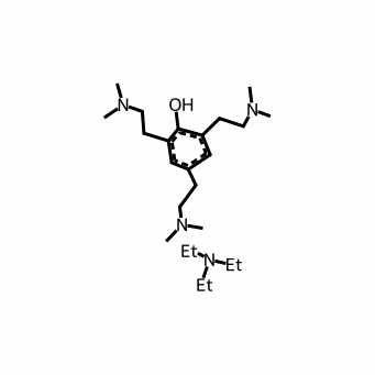 CCN(CC)CC.CN(C)CCc1cc(CCN(C)C)c(O)c(CCN(C)C)c1